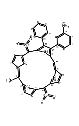 NC1=C2C=CC(=N2)C(=S(=O)=O)c2[nH]c(c(-c3cccc(N)c3)c2-c2ccccc2)C=C2C=CC(=N2)C(=S(=O)=O)c2ccc1[nH]2